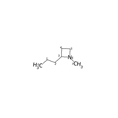 CCCC1CCN1C